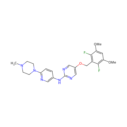 COc1cc(OC)c(F)c(COc2cnc(Nc3ccc(N4CCN(C)CC4)nc3)nc2)c1F